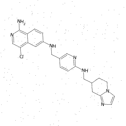 Nc1ncc(Cl)c2cc(NCc3ccc(NCC4CCn5ccnc5C4)nc3)ccc12